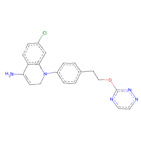 NC1=CCN(c2ccc(CCOc3nccnn3)cc2)c2cc(Cl)ccc21